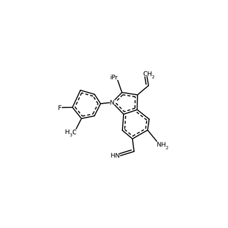 C=Cc1c(C(C)C)n(-c2ccc(F)c(C)c2)c2cc(C=N)c(N)cc12